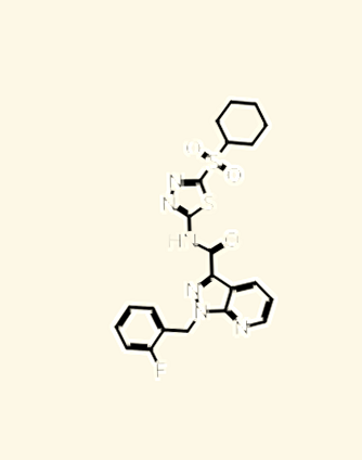 O=C(Nc1nnc(S(=O)(=O)C2CCCCC2)s1)c1nn(Cc2ccccc2F)c2ncccc12